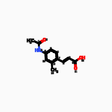 CC(=O)Nc1ccc(C=CC(=O)O)c(C)c1